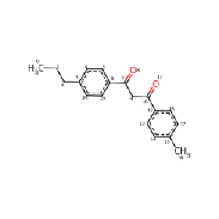 CCCc1ccc(C(=O)CC(=O)c2ccc(C)cc2)cc1